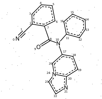 N#Cc1ccccc1C(=O)N(c1ccccc1)c1ccc2nccn2c1